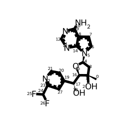 C[C@]1(O)C[C@H](n2ccc3c(N)ncnc32)O[C@@H]1[C@H](O)c1ccnc(C(F)F)c1